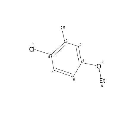 [CH2]c1cc(OCC)ccc1Cl